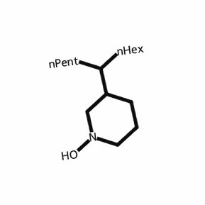 CCCCCCC(CCCCC)C1CCCN(O)C1